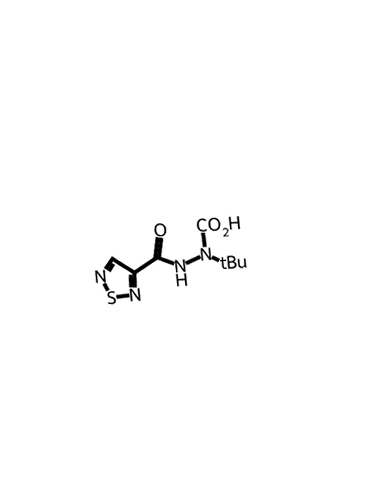 CC(C)(C)N(NC(=O)c1cnsn1)C(=O)O